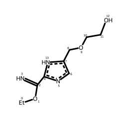 CCOC(=N)c1ncc(COCCO)[nH]1